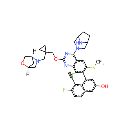 C#Cc1c(F)ccc2cc(O)cc(-c3c(SC(F)(F)F)cc4c(N5CC6CCC(C5)N6)nc(OCC5(CN6C[C@@H]7C[C@H]6CO7)CC5)nc4c3F)c12